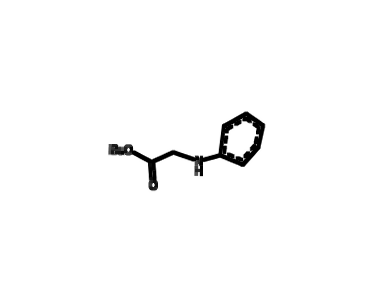 CC(C)COC(=O)CNc1ccccc1